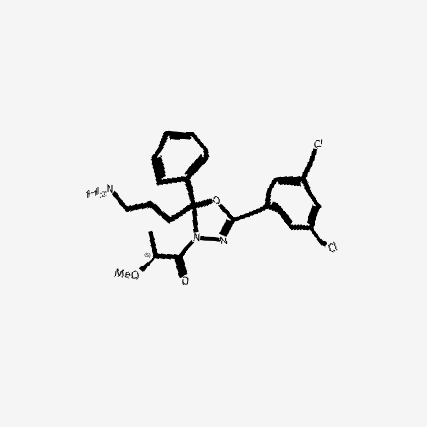 CO[C@@H](C)C(=O)N1N=C(c2cc(Cl)cc(Cl)c2)OC1(CCCN)c1ccccc1